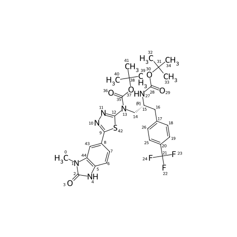 Cn1c(=O)[nH]c2ccc(-c3nnc(N(C[C@@H](Cc4ccc(C(F)(F)F)cc4)NC(=O)OC(C)(C)C)C(=O)OC(C)(C)C)s3)cc21